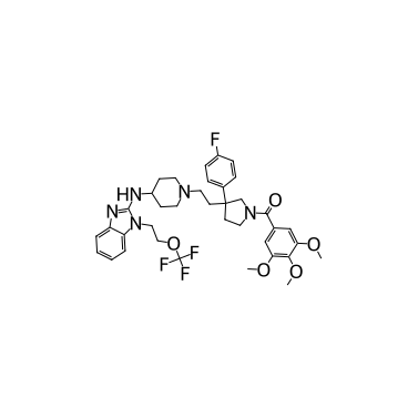 COc1cc(C(=O)N2CCC(CCN3CCC(Nc4nc5ccccc5n4CCOC(F)(F)F)CC3)(c3ccc(F)cc3)C2)cc(OC)c1OC